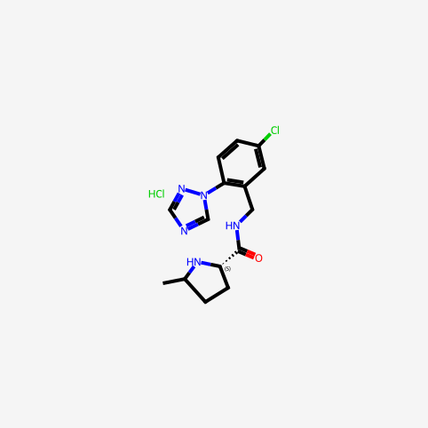 CC1CC[C@@H](C(=O)NCc2cc(Cl)ccc2-n2cncn2)N1.Cl